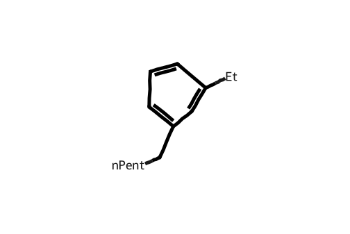 CCCCCCc1cccc(CC)c1